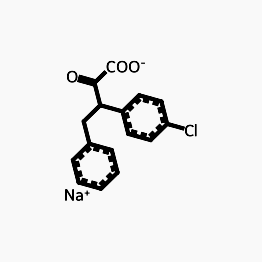 O=C([O-])C(=O)C(Cc1ccccc1)c1ccc(Cl)cc1.[Na+]